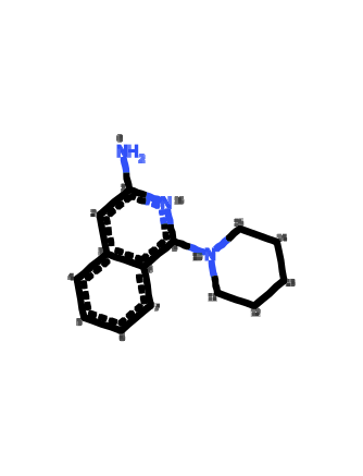 Nc1cc2ccccc2c(N2CCCCC2)n1